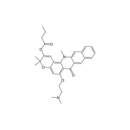 CCCC(=O)OC1=Cc2c(cc(OCCN(C)C)c3c(=O)c4cc5ccccc5cc4n(C)c23)OC1(C)C